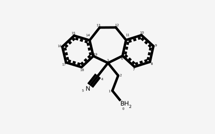 BCCC1(C#N)c2ccccc2CCc2ccccc21